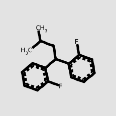 CC(C)CC(c1ccccc1F)c1ccccc1F